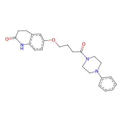 O=C1CCc2cc(OCCCC(=O)N3CCN(c4ccccc4)CC3)ccc2N1